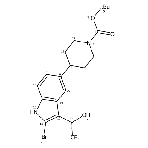 CC(C)(C)OC(=O)N1CCC(c2ccc3[nH]c(Br)c(C(O)C(F)(F)F)c3c2)CC1